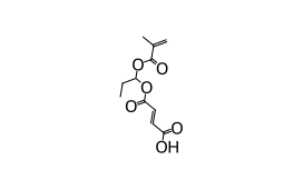 C=C(C)C(=O)OC(CC)OC(=O)C=CC(=O)O